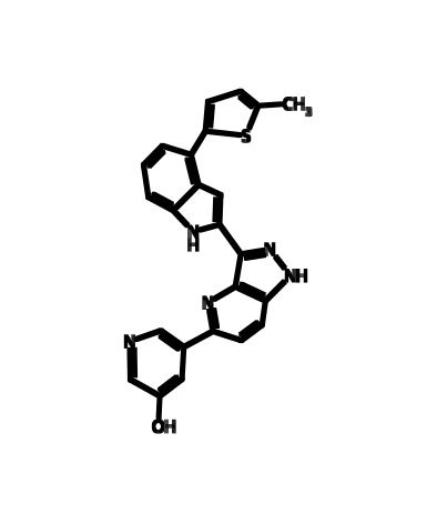 Cc1ccc(-c2cccc3[nH]c(-c4n[nH]c5ccc(-c6cncc(O)c6)nc45)cc23)s1